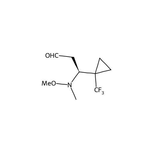 CON(C)[C@@H](CC=O)C1(C(F)(F)F)CC1